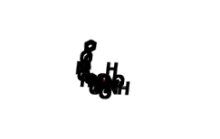 C[C@]1(CS(=O)(=O)N2CCC(Oc3ccc(OCc4ccccc4)cn3)CC2)NC(=O)NC1=O